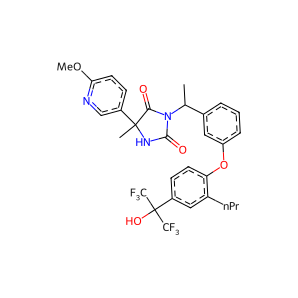 CCCc1cc(C(O)(C(F)(F)F)C(F)(F)F)ccc1Oc1cccc(C(C)N2C(=O)NC(C)(c3ccc(OC)nc3)C2=O)c1